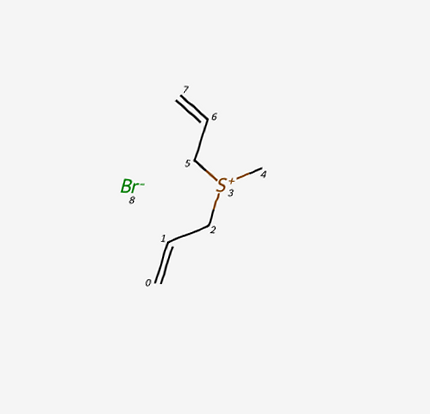 C=CC[S+](C)CC=C.[Br-]